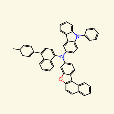 CC1C=CC(c2ccc(N(c3ccc4c(c3)oc3ccc5ccccc5c34)c3ccc4c(c3)c3ccccc3n4-c3ccccc3)c3ccccc23)=CC1